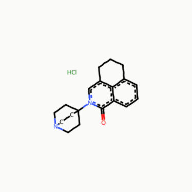 Cl.O=c1c2cccc3c2c(cn1C12CCN(CC1)CC2)CCC3